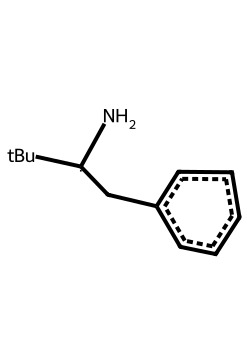 CC(C)(C)[C](N)Cc1ccccc1